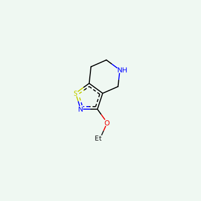 CCOc1nsc2c1CNCC2